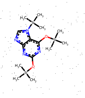 C[Si](C)(C)Oc1nc(O[Si](C)(C)C)c2c(ncn2[Si](C)(C)C)n1